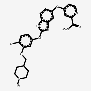 CNC(=O)c1cc(Oc2ccc3oc(Nc4ccc(Cl)c(OCC5CCN(C(C)C)CC5)c4)nc3c2)ccn1